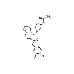 NC(=O)NC1CCN(CC2c3ccccc3CCN2C(=O)Cc2ccc(Cl)c(Cl)c2)C1